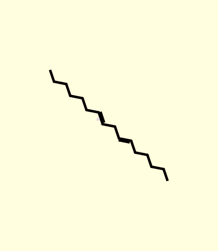 CCCCCC=CC/[C]=C/CCCCCC